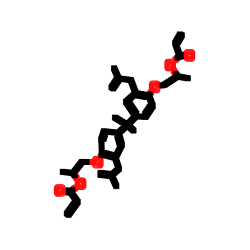 C=CC(=O)OC(C)COc1ccc(C(C)(C)c2ccc(OCC(C)OC(=O)C=C)c(CC(=C)C)c2)cc1CC(=C)C